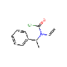 C=CN(C(=O)Cl)C(C)c1ccccc1